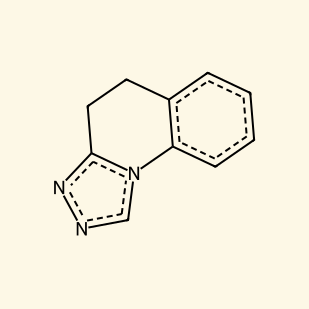 c1ccc2c(c1)CCc1nncn1-2